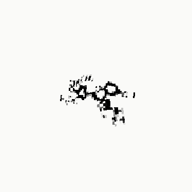 COc1cc(C2=CC(O)(CC(=O)NO)c3cc(O)ccc3O2)cc(OC)c1OC